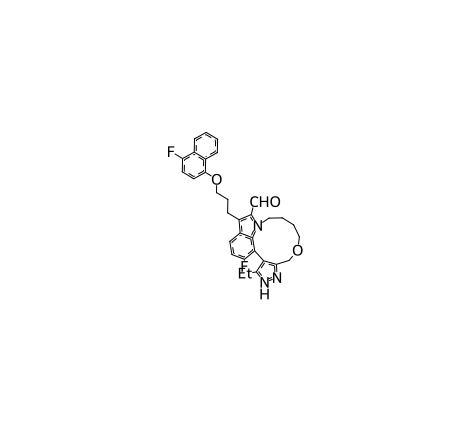 CCc1[nH]nc2c1-c1c(F)ccc3c(CCCOc4ccc(F)c5ccccc45)c(C=O)n(c13)CCCCOC2